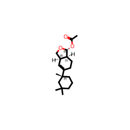 CC(=O)O[C@H]1OC[C@@H]2C=C([C@]3(C)CCCC(C)(C)C3)CC[C@H]12